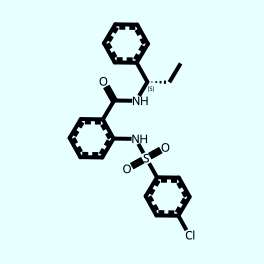 CC[C@H](NC(=O)c1ccccc1NS(=O)(=O)c1ccc(Cl)cc1)c1ccccc1